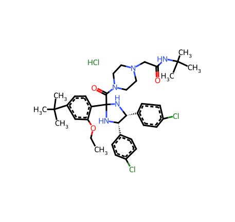 CCOc1cc(C(C)(C)C)ccc1C1(C(=O)N2CCN(CC(=O)NC(C)(C)C)CC2)N[C@H](c2ccc(Cl)cc2)[C@H](c2ccc(Cl)cc2)N1.Cl